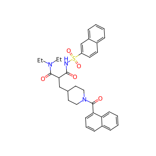 CCN(CC)C(=O)C(CC1CCN(C(=O)c2cccc3ccccc23)CC1)C(=O)NS(=O)(=O)c1ccc2ccccc2c1